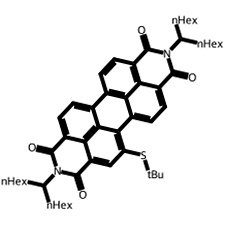 CCCCCCC(CCCCCC)N1C(=O)c2ccc3c4ccc5c6c(cc(SC(C)(C)C)c(c7ccc(c2c37)C1=O)c64)C(=O)N(C(CCCCCC)CCCCCC)C5=O